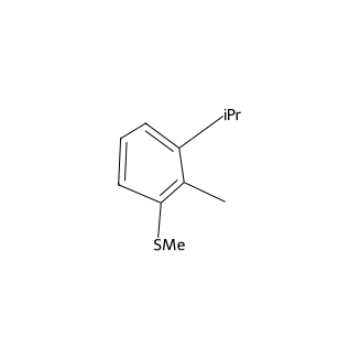 CSc1cccc(C(C)C)c1C